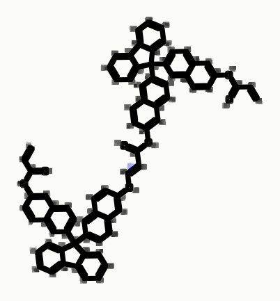 C=CC(=O)Oc1ccc2cc(C3(c4ccc5cc(O/C=C/C(=O)Oc6ccc7cc(C8(c9ccc%10cc(OC(=O)C=C)ccc%10c9)c9ccccc9-c9ccccc98)ccc7c6)ccc5c4)c4ccccc4-c4ccccc43)ccc2c1